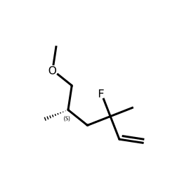 C=CC(C)(F)C[C@H](C)COC